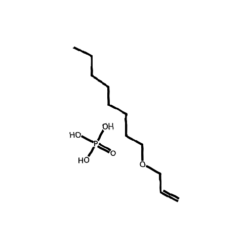 C=CCOCCCCCCCC.O=P(O)(O)O